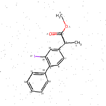 COC(=O)C(C)c1ccc(-c2ccccc2)c(I)c1